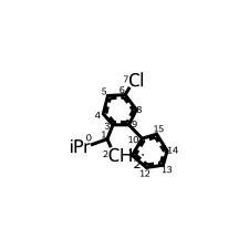 [CH2]C(C)C([CH2])c1ccc(Cl)cc1-c1ccccc1